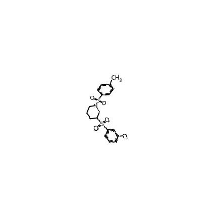 Cc1ccc(S(=O)(=O)N2CCCC(S(=O)(=O)c3cccc(Cl)c3)C2)cc1